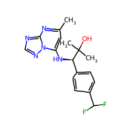 Cc1cc(N[C@H](c2ccc(C(F)F)cc2)C(C)(C)O)n2ncnc2n1